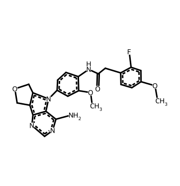 COc1ccc(CC(=O)Nc2ccc(-n3c4c(c5ncnc(N)c53)COC4)cc2OC)c(F)c1